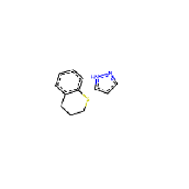 c1ccc2c(c1)CCCS2.c1cn[nH]c1